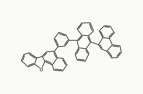 c1cc(-c2c3ccccc3c(-c3cc4ccccc4c4ccccc34)c3ccccc23)cc(-c2cc3c4ccccc4oc3c3ccccc23)c1